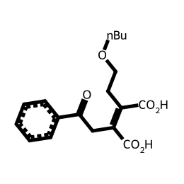 CCCCOCCC(C(=O)O)=C(CC(=O)c1ccccc1)C(=O)O